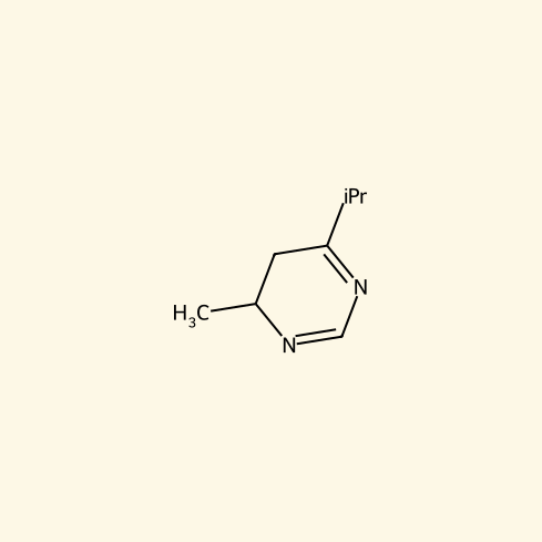 CC1CC(C(C)C)=NC=N1